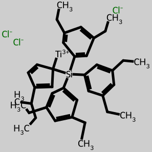 CCc1cc(CC)cc([Si](c2cc(CC)cc(CC)c2)(c2cc(CC)cc(CC)c2)[C]2([Ti+3])C=CC(C(C)CC)=C2)c1.[Cl-].[Cl-].[Cl-]